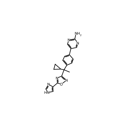 CC(c1ccc(-c2cnc(N)nc2)cc1)(c1noc(-c2c[nH]cn2)n1)C1CC1